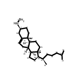 BN[C@H]1CC[C@@]2(C)C(=CC[C@H]3[C@@H]4CC[C@H]([C@H](C)CCCC(C)C)[C@@]4(C)CC[C@@H]32)C1